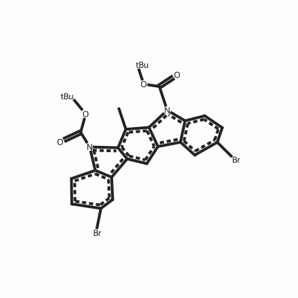 Cc1c2c(cc3c4cc(Br)ccc4n(C(=O)OC(C)(C)C)c13)c1cc(Br)ccc1n2C(=O)OC(C)(C)C